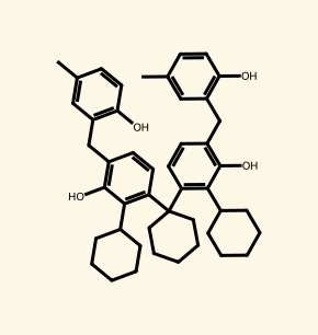 Cc1ccc(O)c(Cc2ccc(C3(c4ccc(Cc5cc(C)ccc5O)c(O)c4C4CCCCC4)CCCCC3)c(C3CCCCC3)c2O)c1